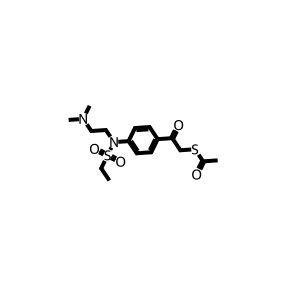 CCS(=O)(=O)N(CCN(C)C)c1ccc(C(=O)CSC(C)=O)cc1